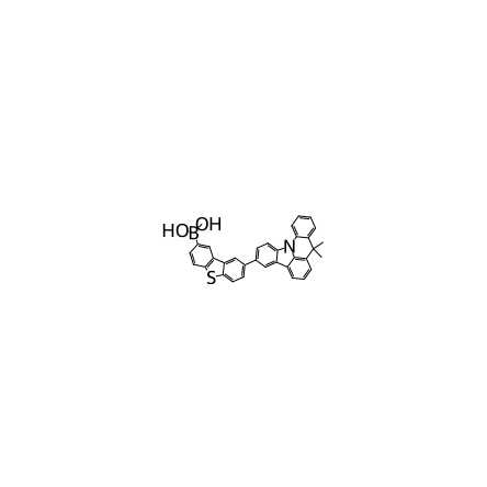 CC1(C)c2ccccc2-n2c3ccc(-c4ccc5sc6ccc(B(O)O)cc6c5c4)cc3c3cccc1c32